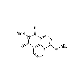 CCCCOc1ccc2c3c(cccc13)C(=O)N(NC)C2=O